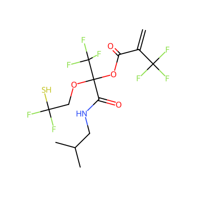 C=C(C(=O)OC(OCC(F)(F)S)(C(=O)NCC(C)C)C(F)(F)F)C(F)(F)F